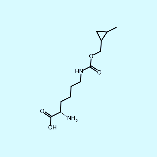 CC1CC1COC(=O)NCCCC[C@H](N)C(=O)O